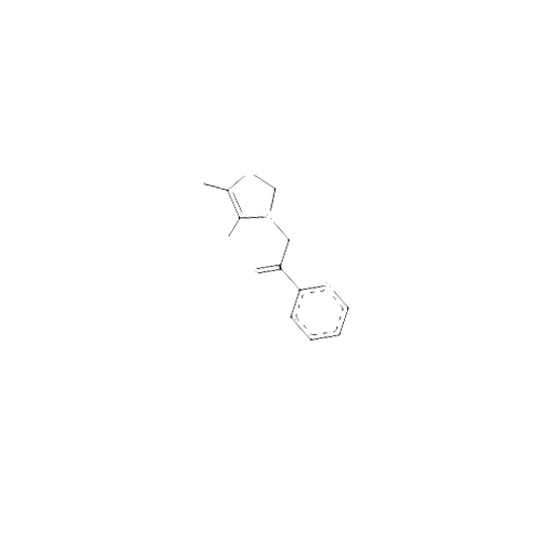 CC1=C(C)N(CC(=O)c2ccccn2)CS1